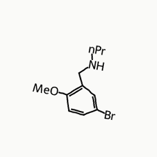 CCCNCc1cc(Br)ccc1OC